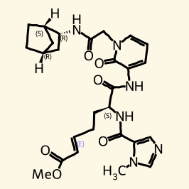 COC(=O)/C=C/CC[C@H](NC(=O)c1cncn1C)C(=O)Nc1cccn(CC(=O)N[C@@H]2C[C@@H]3CC[C@H]2C3)c1=O